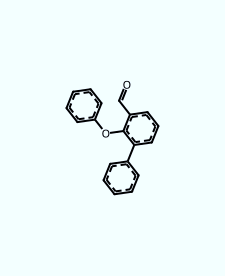 O=Cc1cccc(-c2ccccc2)c1Oc1ccccc1